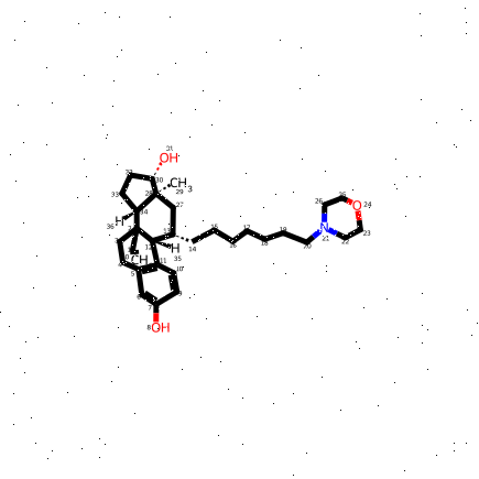 C=CC12CCc3cc(O)ccc3[C@H]1[C@@H](CCCCCCCN1CCOCC1)C[C@]1(C)[C@@H](O)CC[C@@H]21